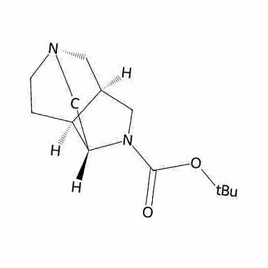 CC(C)(C)OC(=O)N1C[C@@H]2C[N@@]3CC[C@@H]2[C@@H]1C3